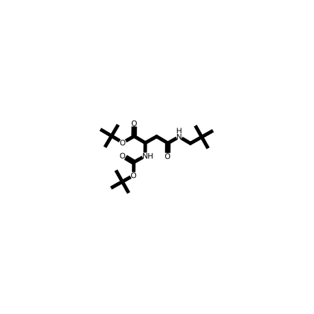 CC(C)(C)CNC(=O)CC(NC(=O)OC(C)(C)C)C(=O)OC(C)(C)C